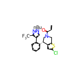 C=CC(=O)N1Cc2sc(Cl)cc2[C@H](c2ccccc2-c2cn(CCCC)nc2C(F)(F)F)C1